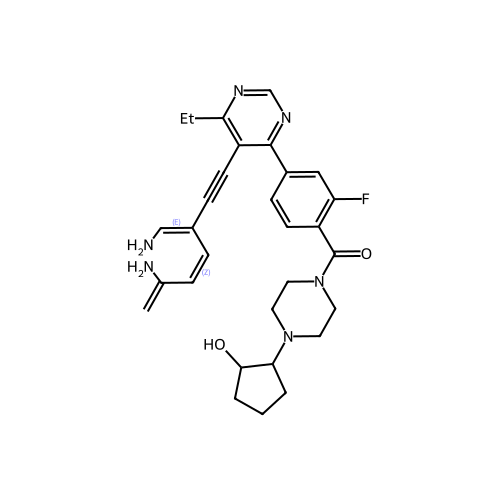 C=C(N)/C=C\C(C#Cc1c(CC)ncnc1-c1ccc(C(=O)N2CCN(C3CCCC3O)CC2)c(F)c1)=C/N